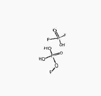 O=P(O)(F)F.O=P(O)(O)OF